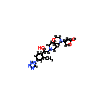 Cc1cc(-n2cnnn2)ccc1C(O)CN1CCC2(CC1)CN(C1=CC(=O)OC1)CCO2